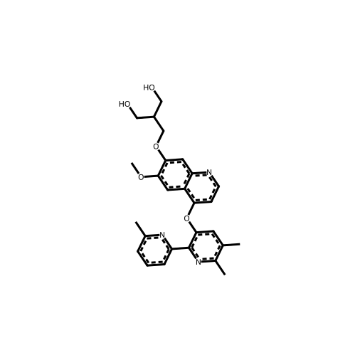 COc1cc2c(Oc3cc(C)c(C)nc3-c3cccc(C)n3)ccnc2cc1OCC(CO)CO